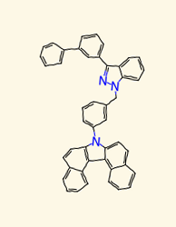 c1ccc(-c2cccc(-c3nn(Cc4cccc(-n5c6ccc7ccccc7c6c6c7ccccc7ccc65)c4)c4ccccc34)c2)cc1